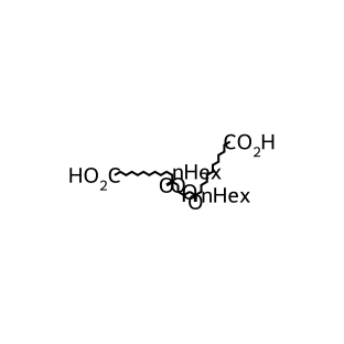 CCCCCCC(CCCCCCCCCC(=O)O)C(=O)OCC(C)OC(=O)C(CCCCCC)CCCCCCCCCC(=O)O